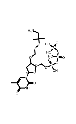 Cc1cn([C@H]2CC(OCSSC(C)(C)CN)[C@@H](COP(=O)(O)OP(=O)(O)OP(=O)(O)O)O2)c(=O)[nH]c1=O